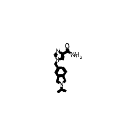 CC(C)N1Cc2ccc(Cn3cnc(C(N)=O)c3)cc2C1